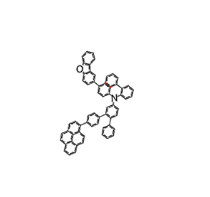 c1ccc(-c2ccc(N(c3ccc(-c4ccc5oc6ccccc6c5c4)cc3)c3ccccc3-c3ccccc3)cc2-c2ccc(-c3ccc4ccc5cccc6ccc3c4c56)cc2)cc1